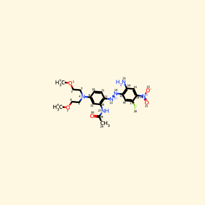 COCCN(CCOC)c1ccc(/N=N/c2cc(F)c([N+](=O)[O-])cc2N)c(NC(C)=O)c1